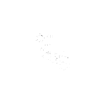 Cn1ncnc1C(=O)Nc1ccc2cc(-c3ccccc3C(F)(F)F)[nH]c2n1